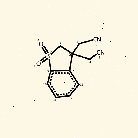 N#CCC1(CC#N)CS(=O)(=O)c2ccccc21